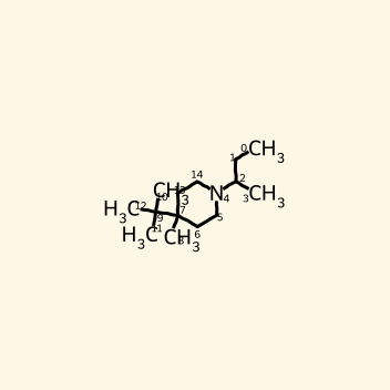 CCC(C)N1CCC(C)(C(C)(C)C)CC1